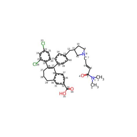 CN(C)C(=O)C=CCN1CCC(Cc2ccc(C3=C(c4ccc(Cl)cc4Cl)CCCc4cc(C(=O)O)ccc43)cc2)C1